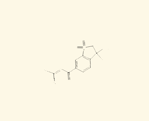 CC1(N)CS(=O)(=O)c2cc(C(=O)N=C(N)N)ccc21